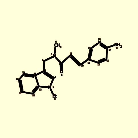 CCn1cc(CN(C)C(=O)/C=C/c2ccc(N)nc2)c2ccccc21